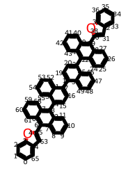 c1ccc2oc(-c3c4ccccc4c(-c4ccc(-c5ccc(-c6c7ccccc7c(-c7cc8ccccc8o7)c7ccccc67)c6ccccc56)c5ccccc45)c4ccccc34)cc2c1